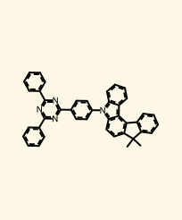 CC1(C)c2ccccc2-c2c1ccc1c2c2ccccc2n1-c1ccc(-c2nc(-c3ccccc3)nc(-c3ccccc3)n2)cc1